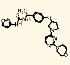 C[C@H](NC(=O)Nc1ccon1)c1ccc(OC2CCN(c3ccnc(N4CCOCC4)n3)C2)cc1